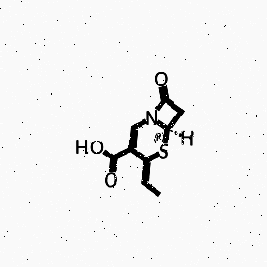 CC=C1S[C@@H]2CC(=O)N2C=C1C(=O)O